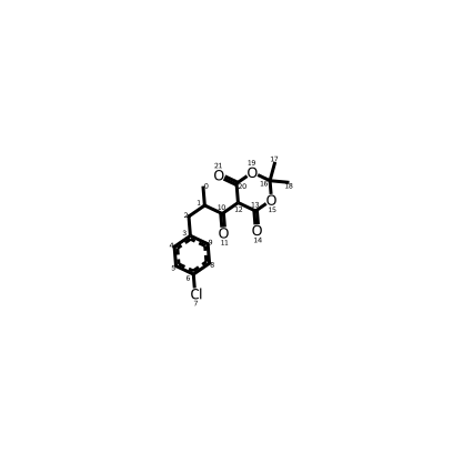 CC(Cc1ccc(Cl)cc1)C(=O)C1C(=O)OC(C)(C)OC1=O